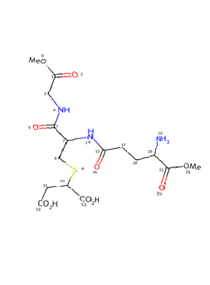 COC(=O)CNC(=O)C(CSC(CC(=O)O)C(=O)O)NC(=O)CCC(N)C(=O)OC